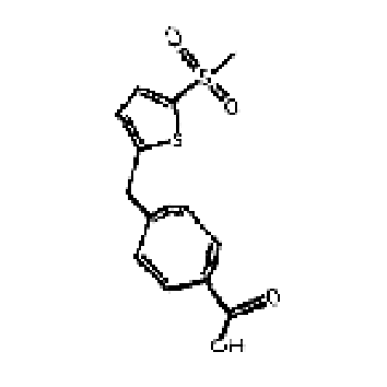 CS(=O)(=O)c1ccc(Cc2ccc(C(=O)O)cc2)s1